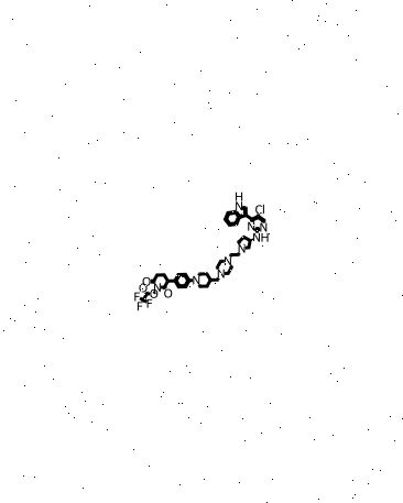 O=C1CCC(c2ccc(N3CCC(CN4CCN(CCN5CC[C@@H](Nc6ncc(Cl)c(-c7c[nH]c8ccccc78)n6)C5)CC4)CC3)cc2)C(=O)N1OC(=O)C(F)(F)F